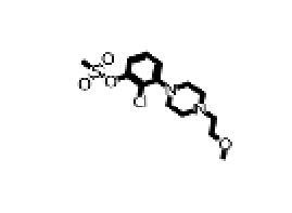 COCCN1CCN(c2cccc(OS(C)(=O)=O)c2Cl)CC1